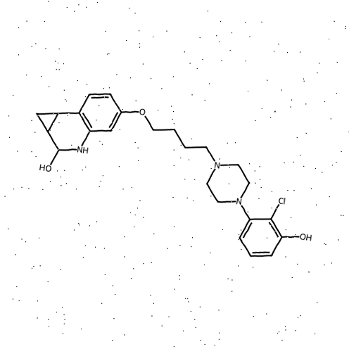 Oc1cccc(N2CCN(CCCCOc3ccc4c(c3)NC(O)C3CC43)CC2)c1Cl